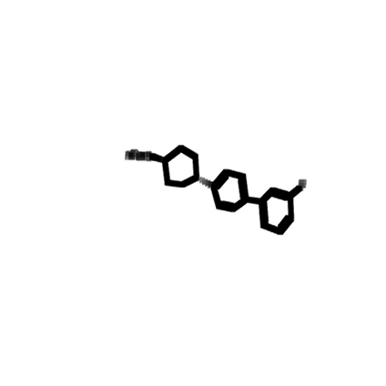 CCCCC[C@H]1CC[C@H](c2ccc(-c3cccc(F)c3)cc2)CC1